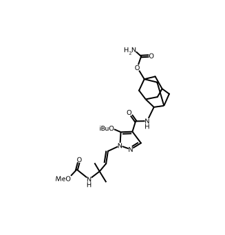 COC(=O)NC(C)(C)/C=C/n1ncc(C(=O)NC2C3CC4CC2CC(OC(N)=O)(C4)C3)c1OCC(C)C